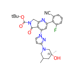 CC1CN(c2ccn(-c3cc(-c4c(F)cccc4C#N)nc4c3C(=O)N(C(=O)OC(C)(C)C)C4)n2)C[C@@](C)(O)C1